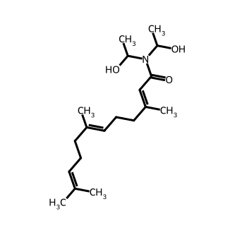 CC(C)=CCCC(C)=CCCC(C)=CC(=O)N(C(C)O)C(C)O